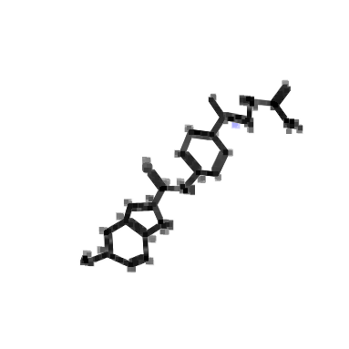 C=C(N)N/N=C(\C)c1ccc(NC(=O)c2cc3cc(C(C)=O)ccc3[nH]2)cc1